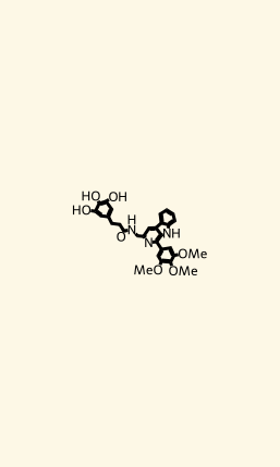 COc1cc(-c2nc(CNC(=O)CCc3cc(O)c(O)c(O)c3)cc3c2[nH]c2ccccc23)cc(OC)c1OC